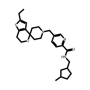 CCc1cc2c(s1)CCOC21CCN(Cc2ccc(C(=O)NCC3CCC(C)C3)nc2)CC1